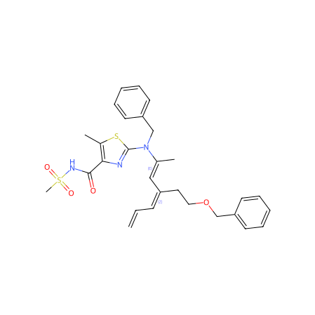 C=C/C=C(\C=C(/C)N(Cc1ccccc1)c1nc(C(=O)NS(C)(=O)=O)c(C)s1)CCOCc1ccccc1